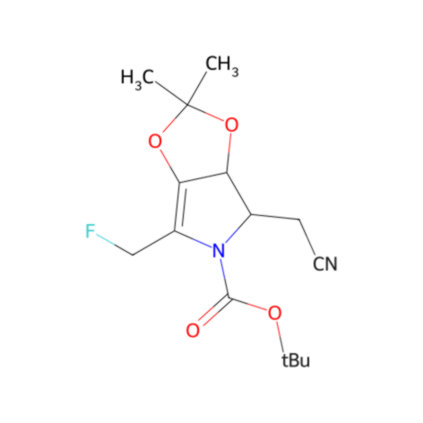 CC(C)(C)OC(=O)N1C(CF)=C2OC(C)(C)OC2C1CC#N